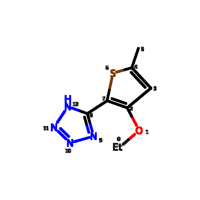 CCOc1cc(C)sc1-c1nnn[nH]1